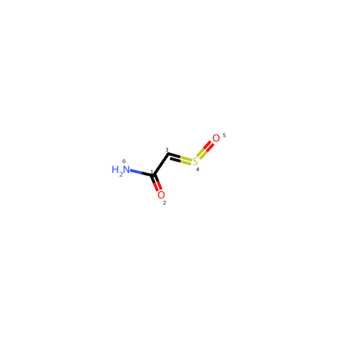 NC(=O)C=S=O